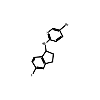 Fc1ccc2c(c1)CCC2Nc1ccc(Br)cn1